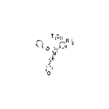 Nc1ncc(-c2cn(C34CC(N5CCOCC5)(C3)C4)c(COCc3ccccc3)n2)cc1OC(F)(F)F